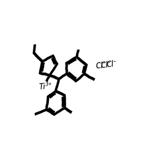 CCC1=C[C]([Ti+3])(C(c2cc(C)cc(C)c2)c2cc(C)cc(C)c2)C=C1.[Cl-].[Cl-].[Cl-]